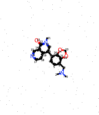 CN(C)Cc1ccc(-c2cn(C)c(=O)c3cnccc23)c2c1OCO2